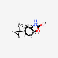 O=C(O)C1(c2ccc3oc(=O)[nH]c3c2)CC1